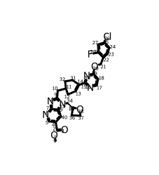 COC(=O)c1cnc2nc(CC3CC=C(c4nccc(OCc5ccc(Cl)cc5F)n4)CC3)n(C[C@@H]3CCO3)c2c1